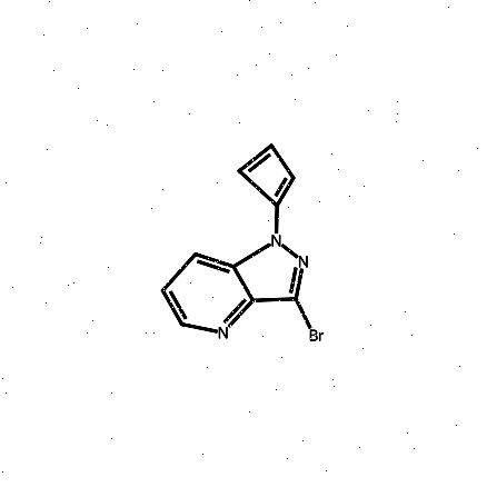 Brc1nn(C2=CC=C2)c2cccnc12